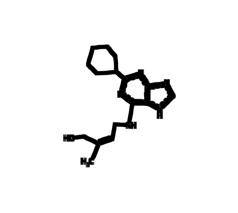 CC(=CCNc1nc(C2CCCCC2)nc2nc[nH]c12)CO